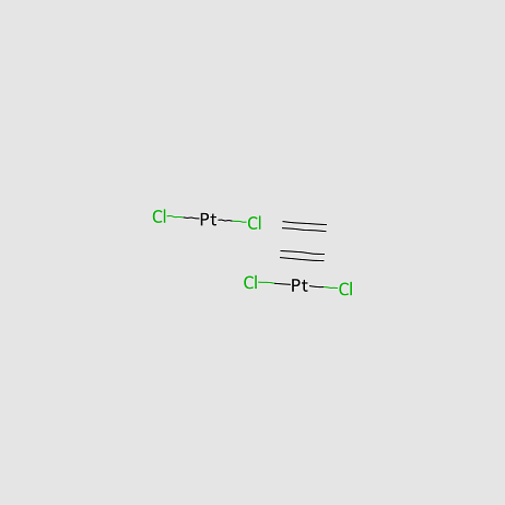 C=C.C=C.[Cl][Pt][Cl].[Cl][Pt][Cl]